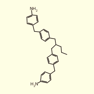 CCCC(Cc1ccc(Cc2ccc(N)cc2)cc1)Cc1ccc(Cc2ccc(N)cc2)cc1